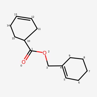 O=C(OCC1=CCCCC1)C1CC=CCC1